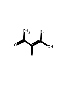 CCC(O)=C(C)C(=O)P